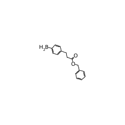 Bc1ccc(CCC(=O)OCc2ccccc2)cc1